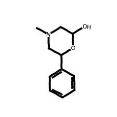 CN1CC(O)OC(c2ccccc2)C1